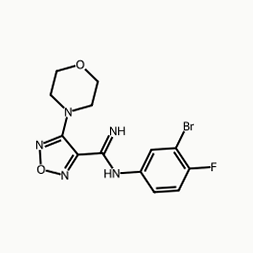 N=C(Nc1ccc(F)c(Br)c1)c1nonc1N1CCOCC1